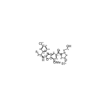 CCOC1CC(CCO)N(C(=O)c2cc(OC)c3oc(NC(CF)c4cccc(Cl)c4)nc3c2)C1